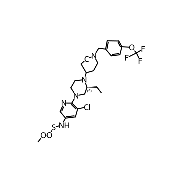 CC[C@H]1CN(c2ncc(NSOOC)cc2Cl)CCN1C1CCN(Cc2ccc(OC(F)(F)F)cc2)CC1